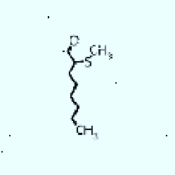 CCCCCCC([C]=O)SC